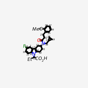 CCC(C(=O)O)n1c2c(c3cc(F)ccc31)C[C@@H](N(CC1CC1)C(=O)CCc1ccccc1OC)CC2